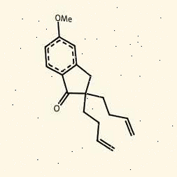 C=CCCC1(CCC=C)Cc2cc(OC)ccc2C1=O